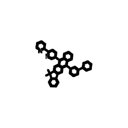 CC1(C)c2ccccc2-c2cc3c(-c4cccc(-c5ccccc5)c4)c4ccccc4c(-c4ccc(-c5ccccn5)nc4)c3cc21